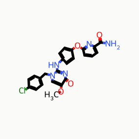 COc1cn(Cc2ccc(Cl)cc2)c(Nc2ccc(Oc3cccc(C(N)=O)n3)cc2)nc1=O